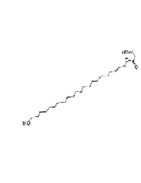 CCCCCCCCCCCC(=O)OCCCCCCCCCCCCCCCCCCCCCCO